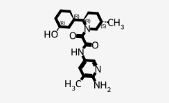 Cc1cc(NC(=O)C(=O)N2C[C@@H](C)CC[C@@H]2[C@@H]2CCC[C@@H](O)C2)cnc1N